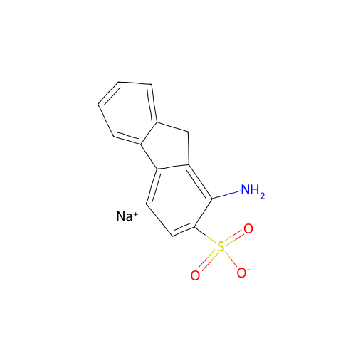 Nc1c(S(=O)(=O)[O-])ccc2c1Cc1ccccc1-2.[Na+]